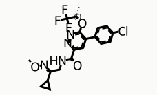 CON=C(CNC(=O)c1cc(-c2ccc(Cl)cc2)c(O[C@@H](C)C(F)(F)F)nn1)C1CC1